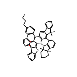 CCCCc1ccc(N2c3cc4c(c5c3B(c3c2ccc2c3sc3ccccc32)N2c3c-5cccc3C3(C)CCCCC23C)C(C)(C)c2ccccc2-4)c(-c2ccccc2)c1